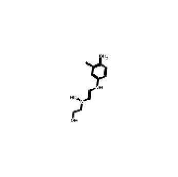 Bc1ccc(NCCN(O)CCO)cc1C